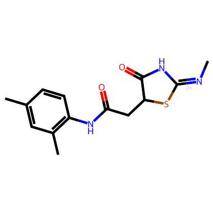 C/N=C1\NC(=O)C(CC(=O)Nc2ccc(C)cc2C)S1